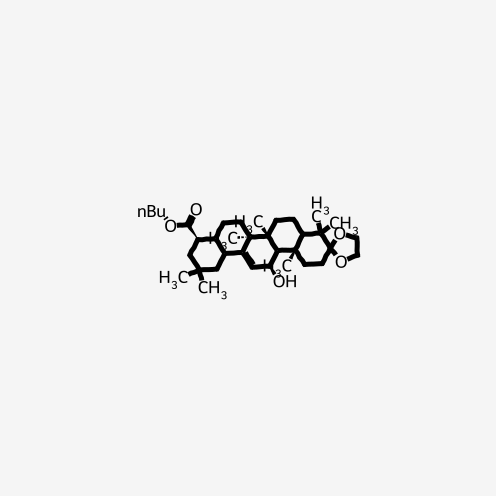 CCCCOC(=O)[C@@H]1CC(C)(C)CC2C3=C[C@H](O)C4[C@@]5(C)CCC6(OCCO6)C(C)(C)C5CC[C@@]4(C)[C@]3(C)CCC21